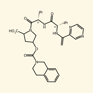 C=C(N[C@H](C(=O)N[C@H](C(=O)N1CC(OC(=O)N2CCc3ccccc3C2)CC1C(=O)O)C(C)C)C(C)C)c1cnccn1